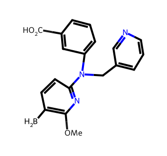 Bc1ccc(N(Cc2cccnc2)c2cccc(C(=O)O)c2)nc1OC